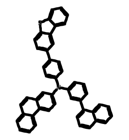 c1cc(-c2cccc3ccccc23)cc(N(c2ccc(-c3ccc4sc5ccccc5c4c3)cc2)c2ccc3c(ccc4ccccc43)c2)c1